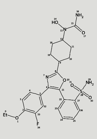 CCOc1ccc(-c2nc(C3CCC(N(O)C(N)=O)CC3)oc2-c2ccccc2S(N)(=O)=O)cc1F